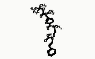 CN(CCCN(CCc1ccccc1)C(=O)O)C(=O)c1ccc(N(C)C(=O)OC(C)(C)C)cn1